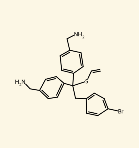 C=CSC(Cc1ccc(Br)cc1)(c1ccc(CN)cc1)c1ccc(CN)cc1